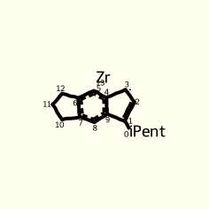 CCCC(C)C1=C[CH]c2cc3c(cc21)CCC3.[Zr]